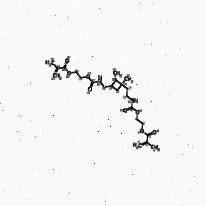 C=C(C)C(=O)OCCOC(=O)NCCC1(C)CC(CNC(=O)OCCOC(=O)C(=C)C)C1C